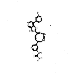 CN(C)C(=O)Nc1cncc(-c2ccc(-c3nc4c(-c5cccc(F)c5)cncc4[nH]3)n[nH]cnc2)c1